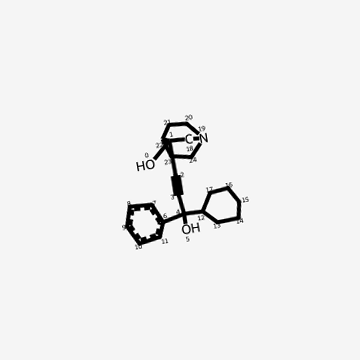 OC1(C#CC(O)(c2ccccc2)C2CCCCC2)CN2CCC1CC2